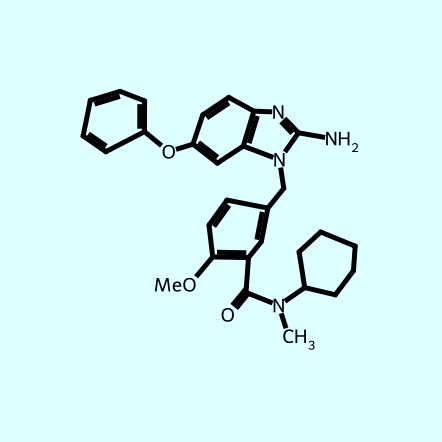 COc1ccc(Cn2c(N)nc3ccc(Oc4ccccc4)cc32)cc1C(=O)N(C)C1CCCCC1